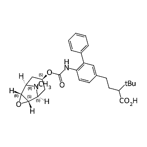 CN1[C@@H]2C[C@@H](OC(=O)Nc3ccc(CCC(C(=O)O)C(C)(C)C)cc3-c3ccccc3)C[C@H]1[C@@H]1O[C@@H]12